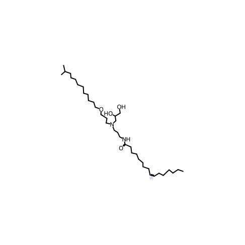 CCCCCC/C=C\CCCCCCCC(=O)NCCCN(CCCOCCCCCCCCCCC(C)C)CC(O)CO